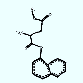 CC(C)OC(=O)CC(C(=O)Oc1cccc2ccccc12)S(=O)(=O)O